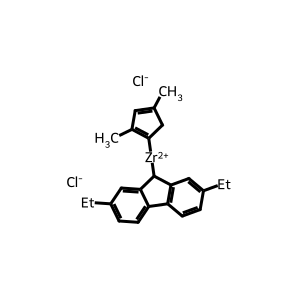 CCc1ccc2c(c1)[CH]([Zr+2][C]1=C(C)C=C(C)C1)c1cc(CC)ccc1-2.[Cl-].[Cl-]